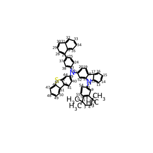 CC1(C)CCC(C)(C)c2cc(-n3c4ccccc4c4ccc(N(c5ccc(-c6cccc7ccccc67)cc5)c5ccc6c(c5)sc5ccccc56)cc43)ccc21